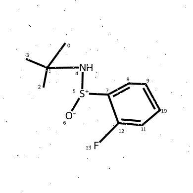 CC(C)(C)N[S+]([O-])c1ccccc1F